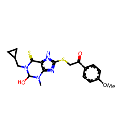 COc1ccc(C(=O)CSc2nc3c([nH]2)C(=S)N(CC2CC2)C(O)N3C)cc1